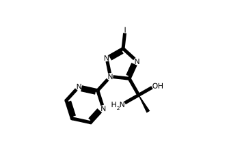 C[C@](N)(O)c1nc(I)nn1-c1ncccn1